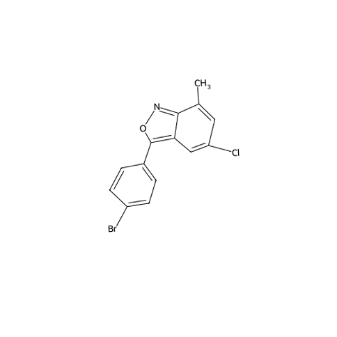 Cc1cc(Cl)cc2c(-c3ccc(Br)cc3)onc12